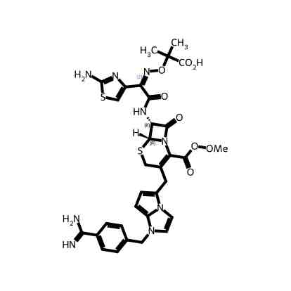 COOC(=O)C1=C(Cc2ccc3n(Cc4ccc(C(=N)N)cc4)ccn23)CS[C@@H]2[C@H](NC(=O)/C(=N\OC(C)(C)C(=O)O)c3csc(N)n3)C(=O)N12